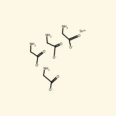 NCC(=O)[O-].NCC(=O)[O-].NCC(=O)[O-].NCC(=O)[O-].[Sn+4]